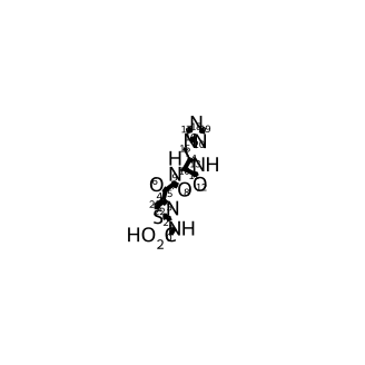 O=C(O)Nc1nc(C(=O)C(=O)N[C@@H]2C(=O)N[C@@H]2Cn2cncn2)cs1